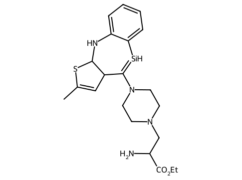 CCOC(=O)C(N)CN1CCN(C2=[SiH]c3ccccc3NC3SC(C)=CC23)CC1